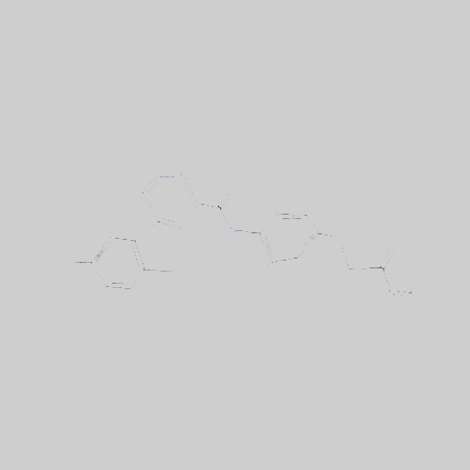 CNC(=O)COc1cc(C)c(NC(=O)c2nccc(-c3cc(Cl)ccc3Cl)n2)c(C)c1